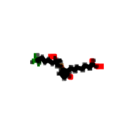 CC(O)(CCCCC(F)(F)F)CSC1CCC(=O)C1CCCCCCC(=O)O